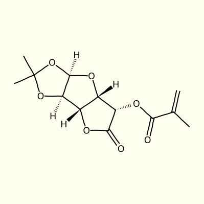 C=C(C)C(=O)O[C@@H]1C(=O)O[C@@H]2[C@H]3OC(C)(C)O[C@H]3O[C@@H]21